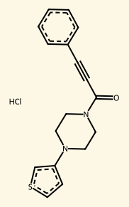 Cl.O=C(C#Cc1ccccc1)N1CCN(c2ccsc2)CC1